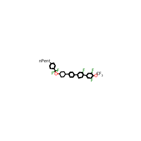 CCCCCc1ccc(C(F)(F)OC2CCC(c3ccc(-c4ccc(-c5cc(F)c(OC(F)(F)F)c(F)c5)c(F)c4)cc3)CC2)cc1